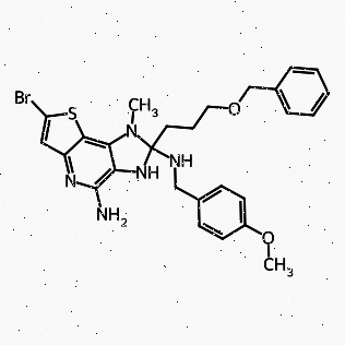 COc1ccc(CNC2(CCCOCc3ccccc3)Nc3c(N)nc4cc(Br)sc4c3N2C)cc1